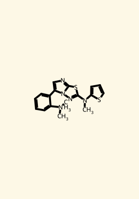 CN(C)c1ccccc1-c1cnc2sc(N(C)c3cccs3)nn12